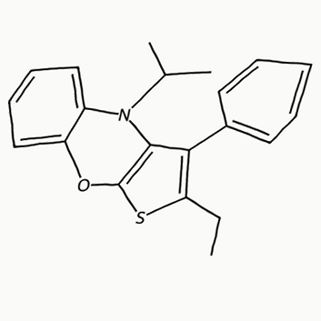 CCc1sc2c(c1-c1ccccc1)N(C(C)C)c1ccccc1O2